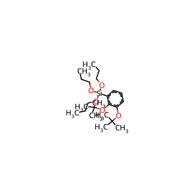 CCCO[Si](OCCC)(OCCC)c1cccc(OC(C)(C)C)c1OC(C)(C)C